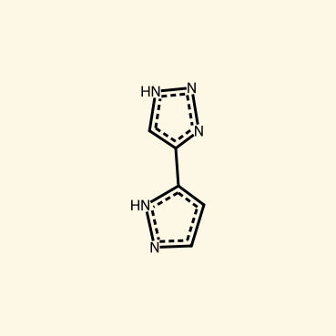 c1cc(-c2c[nH]nn2)[nH]n1